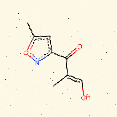 C/C(=C\O)C(=O)c1cc(C)on1